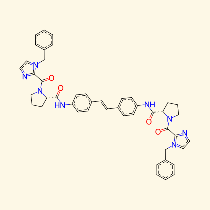 O=C(Nc1ccc(/C=C/c2ccc(NC(=O)[C@@H]3CCCN3C(=O)c3nccn3Cc3ccccc3)cc2)cc1)[C@@H]1CCCN1C(=O)c1nccn1Cc1ccccc1